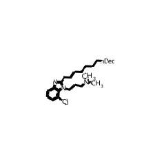 CCCCCCCCCCCCCCCCCc1nc2cccc(Cl)c2n1CCCN(C)C